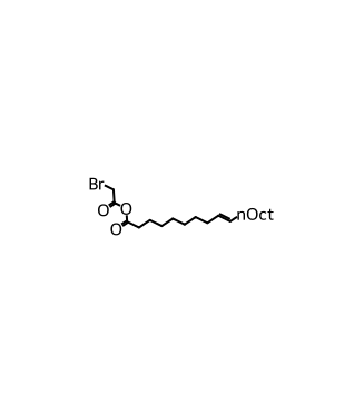 CCCCCCCCC=CCCCCCCCC(=O)OC(=O)CBr